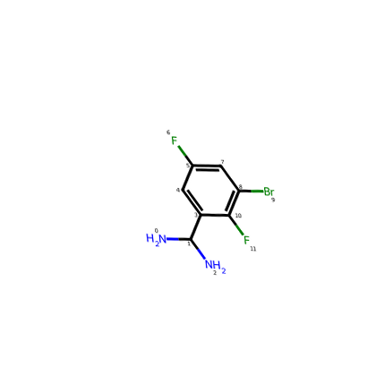 NC(N)c1cc(F)cc(Br)c1F